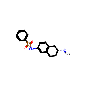 CCCN[C@@H]1CCc2cc(NS(=O)(=O)c3ccccc3)ccc2C1